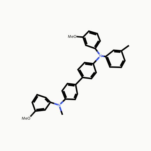 COc1cccc(N(C)c2ccc(-c3ccc(N(c4cccc(C)c4)c4cccc(OC)c4)cc3)cc2)c1